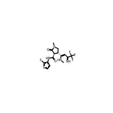 CN/C(=C\C(=N)C(F)(F)F)[C@H]1CN(C)C(=O)[C@@H]1C(=O)Nc1ccsc1F